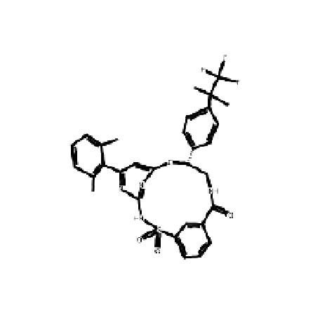 Cc1cccc(C)c1-c1cc2nc(n1)NS(=O)(=O)c1cccc(c1)C(=O)NC[C@@H](c1ccc(C(C)(C)C(F)(F)F)cc1)O2